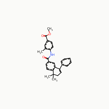 COC(=O)c1ccc(NC(=O)c2ccc3c(c2)C(c2ccccc2)=CCC3(C)C)c(C)c1